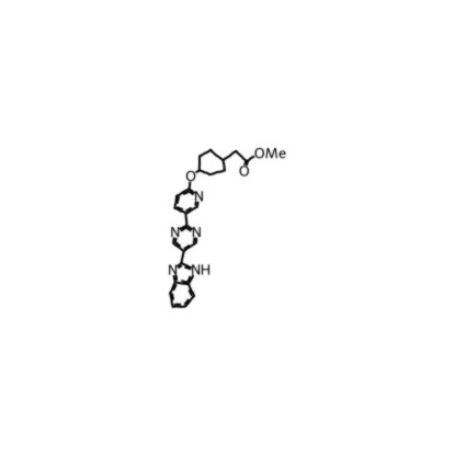 COC(=O)CC1CCC(Oc2ccc(-c3ncc(-c4nc5ccccc5[nH]4)cn3)cn2)CC1